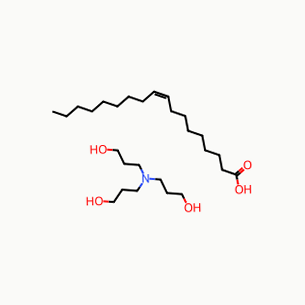 CCCCCCCC/C=C\CCCCCCCC(=O)O.OCCCN(CCCO)CCCO